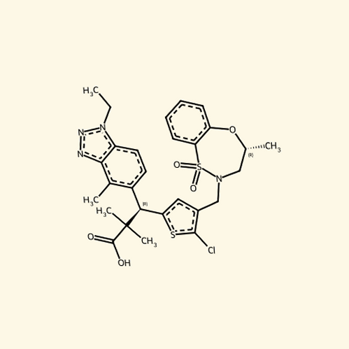 CCn1nnc2c(C)c([C@@H](c3cc(CN4C[C@@H](C)Oc5ccccc5S4(=O)=O)c(Cl)s3)C(C)(C)C(=O)O)ccc21